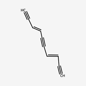 C#CC=CC#CC=CC#C